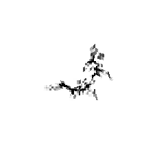 CCCCCCCCCCCC(=O)NCC(C)(C)OCCC(C)(C)NC(=O)CCCCC